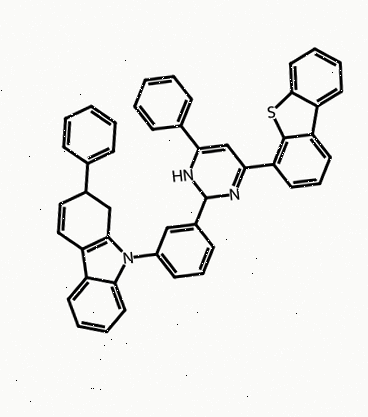 C1=CC(c2ccccc2)Cc2c1c1ccccc1n2-c1cccc(C2N=C(c3cccc4c3sc3ccccc34)C=C(c3ccccc3)N2)c1